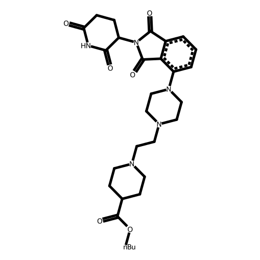 CCCCOC(=O)C1CCN(CCN2CCN(c3cccc4c3C(=O)N(C3CCC(=O)NC3=O)C4=O)CC2)CC1